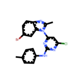 Cc1ccc(Nc2nc(Cl)cc(-n3c(C)nc4ccc(Br)cc43)n2)cc1